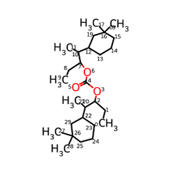 CCC(OC(=O)OC(CC)C(C)C1CCCC(C)(C)C1)C(C)C1CCCC(C)(C)C1